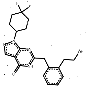 O=c1[nH]c(Cc2ccccc2CCO)nc2c1cnn2C1CCC(F)(F)CC1